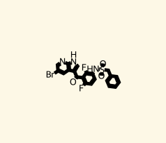 O=C(c1c(F)ccc(NS(=O)(=O)Cc2ccccc2)c1F)c1c[nH]c2ncc(Br)cc12